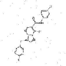 O=C(Nc1ccc(Cl)cc1)c1cnc2c(ncn2Cc2ccc(F)cc2)c1Cl